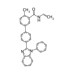 C=CNC(=O)c1cc(-c2ccc(-c3nc4ccccc4n3-c3ccccc3)cc2)ccc1C